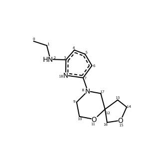 CCNc1cccc(N2CCOC3(CCOC3)C2)n1